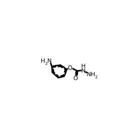 NNC(=O)Oc1cccc(N)c1